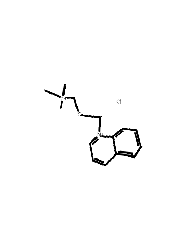 C[Si](C)(C)CSC[n+]1cccc2ccccc21.[Cl-]